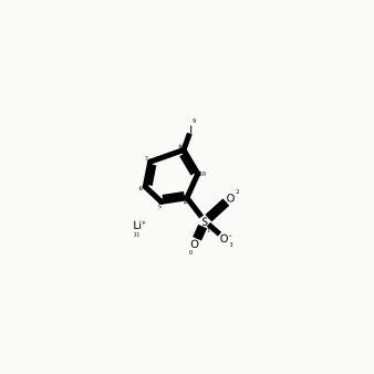 O=S(=O)([O-])c1cccc(I)c1.[Li+]